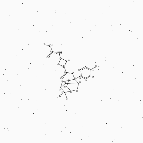 COC(=O)NC1CN(C(=O)CC2(c3ccc(F)cc3)C3CC4CC2CC(C3)C4(C)C)C1